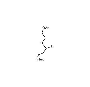 CCCCCCOCC(CC)OCCOC(C)=O